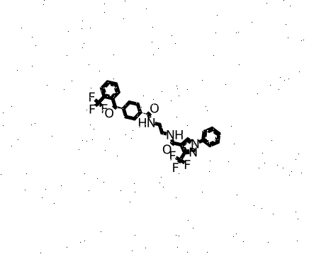 O=C(NCCNC(=O)[C@H]1CC[C@H](C(=O)c2ccccc2C(F)(F)F)CC1)c1cn(-c2ccccc2)nc1C(F)(F)F